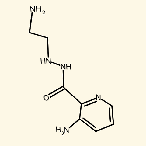 NCCNNC(=O)c1ncccc1N